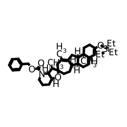 CC[Si](CC)(CC)OC1=C[C@H]2CC[C@H]3[C@@H]4CCC5(CC(C)=C4C[C@@H]3[C@@]2(C)CC1)O[C@@H]1CCCN(C(=O)OCc2ccccc2)[C@H]1[C@H]5C